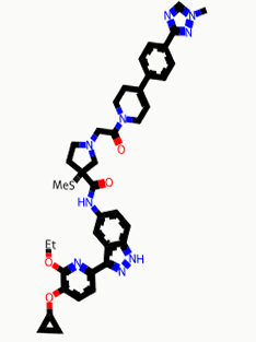 CCOc1nc(-c2n[nH]c3ccc(NC(=O)C4(SC)CCN(CC(=O)N5CC=C(c6ccc(-c7ncn(C)n7)cc6)CC5)C4)cc23)ccc1OC1CC1